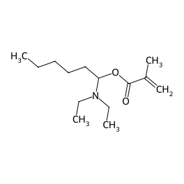 C=C(C)C(=O)OC(CCCCC)N(CC)CC